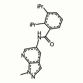 CC(C)c1cccc(C(=O)Nc2cnc3c(cnn3C)c2)c1C(C)C